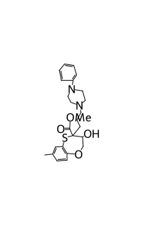 COC(=O)C1(CCCN2CCN(c3ccccc3)CC2)Sc2cc(C)ccc2OCC1O